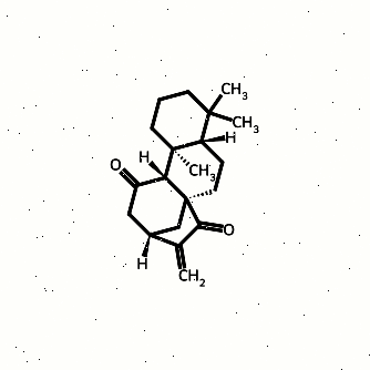 C=C1C(=O)[C@]23CC[C@H]4C(C)(C)CCC[C@]4(C)[C@H]2C(=O)C[C@@H]1C3